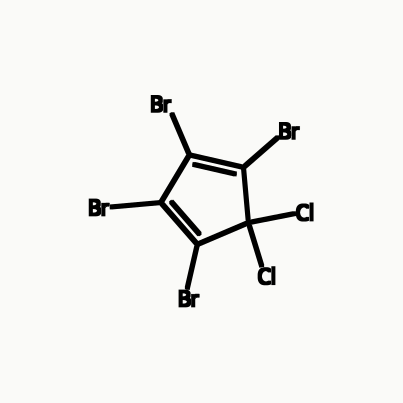 ClC1(Cl)C(Br)=C(Br)C(Br)=C1Br